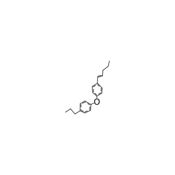 CCCC=Cc1ccc(Oc2ccc(CCC)cc2)cc1